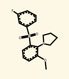 COc1cccc(S(=O)(=O)c2cccc(F)c2)c1N1CCCC1